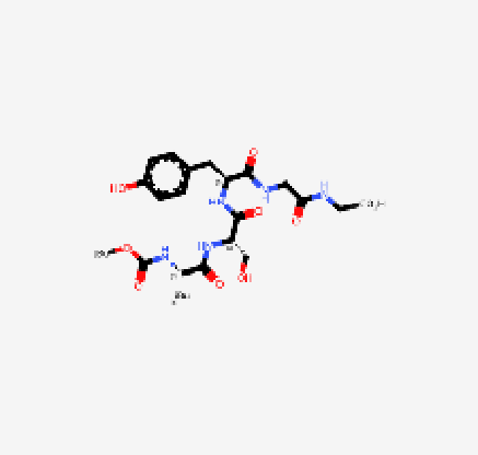 CC[C@H](C)[C@H](NC(=O)OC(C)(C)C)C(=O)N[C@@H](CO)C(=O)N[C@@H](Cc1ccc(O)cc1)C(=O)NCC(=O)NCC(=O)O